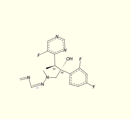 C=N/C=N\N(C)C[C@](O)(c1ccc(F)cc1F)[C@@H](C)c1ncncc1F